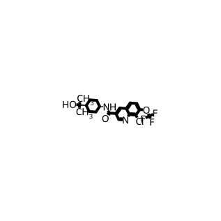 CC(C)(O)[C@H]1CC[C@H](NC(=O)c2cnc3c(Cl)c(OC(F)(F)F)ccc3c2)CC1